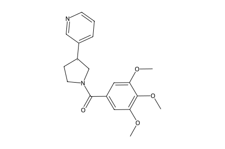 COc1cc(C(=O)N2CC[C](c3cccnc3)C2)cc(OC)c1OC